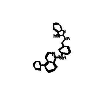 c1ccc(-c2cccc3c(Nc4cccc(CNc5nc6ccccc6[nH]5)c4)nccc23)cc1